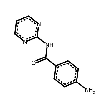 Nc1ccc(C(=O)Nc2ncccn2)cc1